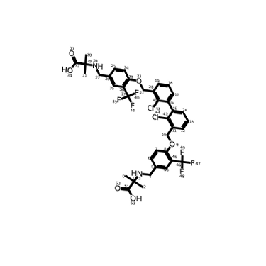 CC(C)(NCc1ccc(OCc2cccc(-c3cccc(COc4ccc(CNC(C)(C)C(=O)O)cc4C(F)(F)F)c3Cl)c2Cl)c(C(F)(F)F)c1)C(=O)O